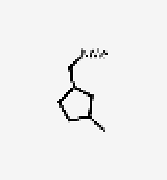 CNCC1CCC(C)C1